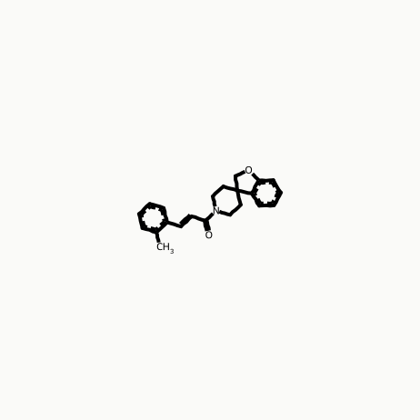 Cc1ccccc1/C=C/C(=O)N1CCC2(CC1)COc1ccccc12